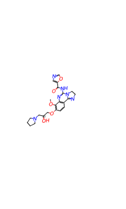 COc1c(OC[C@@H](O)CN2CCCC2)ccc2c1N=C(NC(=O)c1cnco1)N1CCN=C21